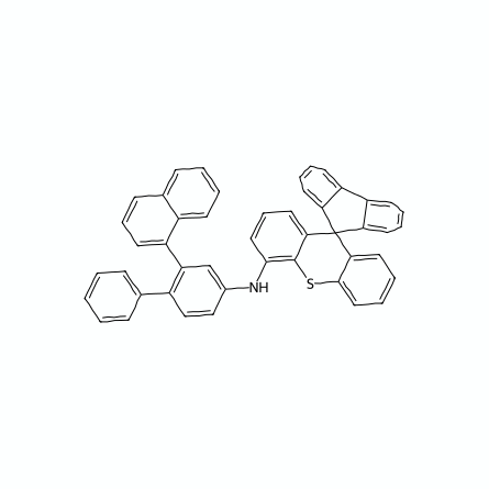 c1ccc(-c2ccc(Nc3cccc4c3Sc3ccccc3C43c4ccccc4-c4ccccc43)cc2-c2cccc3ccccc23)cc1